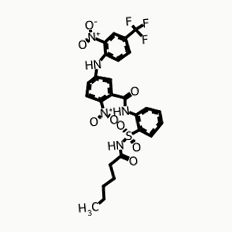 CCCCCC(=O)NS(=O)(=O)c1ccccc1NC(=O)c1cc(Nc2ccc(C(F)(F)F)cc2[N+](=O)[O-])ccc1[N+](=O)[O-]